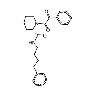 O=C(C(=O)N1CCCC[C@H]1C(=O)NCCCCc1ccccc1)c1ccccc1